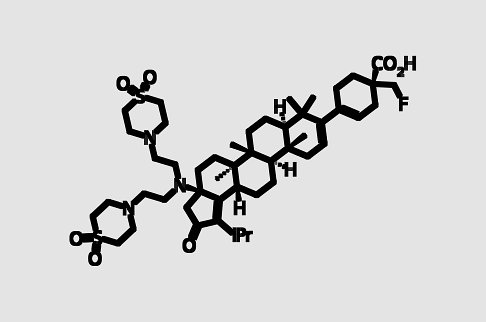 CC(C)C1=C2[C@H]3CC[C@@H]4[C@@]5(C)CC=C(C6=CC[C@](CF)(C(=O)O)CC6)C(C)(C)[C@@H]5CC[C@@]4(C)[C@]3(C)CC[C@@]2(N(CCN2CCS(=O)(=O)CC2)CCN2CCS(=O)(=O)CC2)CC1=O